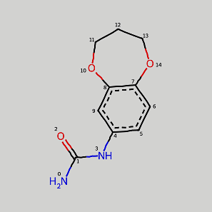 NC(=O)Nc1ccc2c(c1)OCCCO2